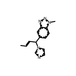 C/C=C/C(c1ccc2c(c1)nnn2C)n1ccnc1